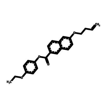 C=CCCOc1ccc2cc(C(=O)Oc3ccc(OCC)cc3)ccc2c1